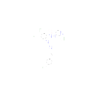 O=C(Nc1cc(F)c(Cl)cc1N1CCN(CC=Cc2ccc(Cl)cc2)CC1)c1ccnc(Cl)c1